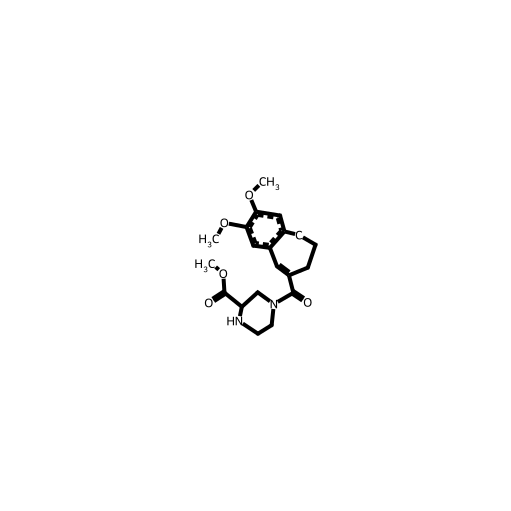 COC(=O)C1CN(C(=O)C2=Cc3cc(OC)c(OC)cc3CCC2)CCN1